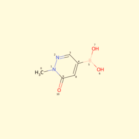 Cn1ncc(B(O)O)cc1=O